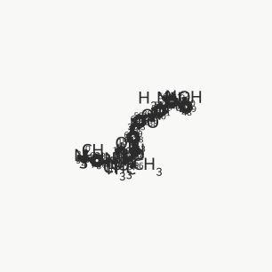 Cc1ncsc1-c1ccc([C@H](C)NC(=O)[C@@H]2C[C@@H](O)CN2C(=O)[C@@H](c2cc(N3CCC(CN4CCC(OC(=O)N5CCN(c6cc(-c7ccccc7O)nnc6N)CC5)CC4)CC3)no2)C(C)C)cc1